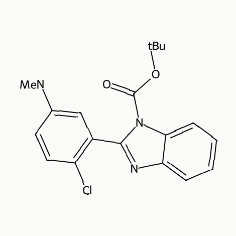 CNc1ccc(Cl)c(-c2nc3ccccc3n2C(=O)OC(C)(C)C)c1